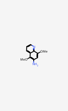 COc1c(N)cc(OC)c2ncccc12